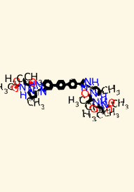 COC(=O)N[C@H](C(=O)N[C@H](C(=O)N1C[C@@H](C)C[C@H]1c1nc(-c2ccc(-c3ccc(-c4ccc5[nH]c([C@@H]6C[C@H](C)CN6C(=O)[C@@H](NC(=O)OC)C(C)C)nc5c4)cc3)cc2)c[nH]1)C(C)C)C(C)C